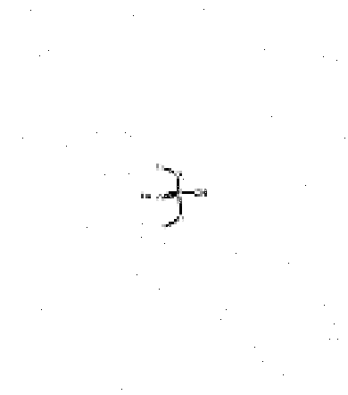 CCOP(=O)(O)OCC.[La]